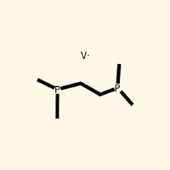 CP(C)CCP(C)C.[V]